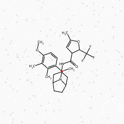 COc1ccc(C(C)N2C3CCC2CC(NC(=O)C2C=C(C)OC2C(F)(F)F)C3)c(C)c1C